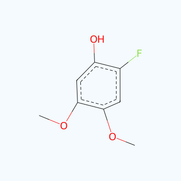 COc1cc(O)c(F)cc1OC